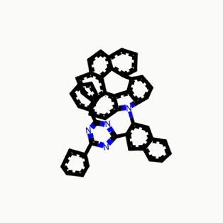 c1ccc(-c2nc(-c3ccccc3)nc(-c3cc4ccccc4cc3-n3c4cccc5c4c4c6c(ccc7ccc8cccc-5c8c76)ccc43)n2)cc1